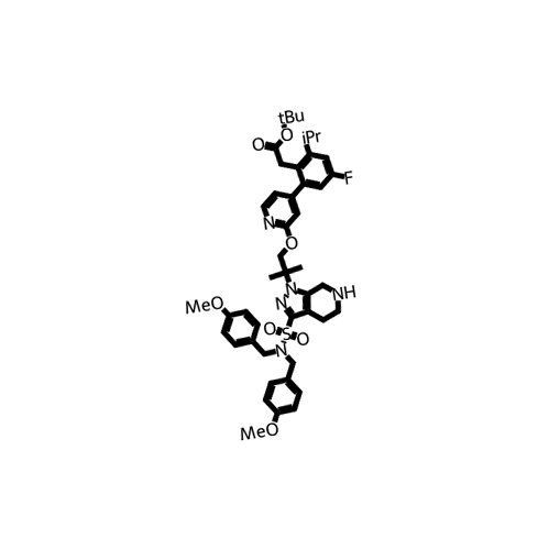 COc1ccc(CN(Cc2ccc(OC)cc2)S(=O)(=O)c2nn(C(C)(C)COc3cc(-c4cc(F)cc(C(C)C)c4CC(=O)OC(C)(C)C)ccn3)c3c2CCNC3)cc1